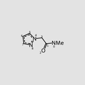 CNC(=O)Cn1c[c]cn1